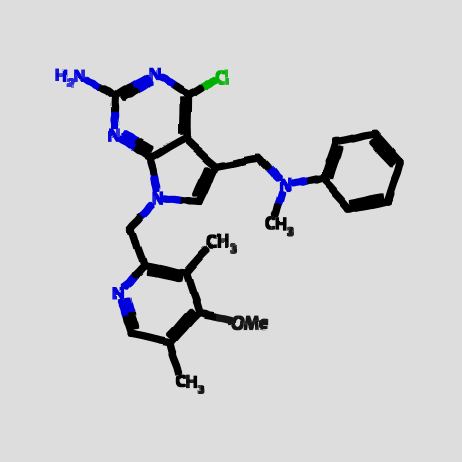 COc1c(C)cnc(Cn2cc(CN(C)c3ccccc3)c3c(Cl)nc(N)nc32)c1C